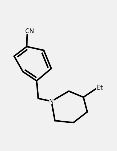 CCC1CCCN(Cc2ccc(C#N)cc2)C1